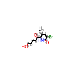 Cc1cc(Br)c(=O)[nH]c1C(=O)CCCCO